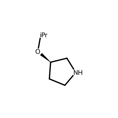 CC(C)O[C@@H]1CCNC1